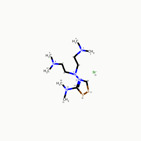 CN(C)CCN(CCN(C)C)[N+]1=C(N(C)C)SSC1.[Br-]